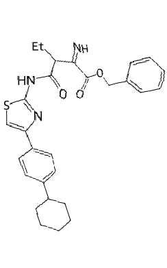 CCC(C(=N)C(=O)OCc1ccccc1)C(=O)Nc1nc(-c2ccc(C3CCCCC3)cc2)cs1